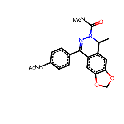 CNC(=O)N1N=C(c2ccc(NC(C)=O)cc2)c2cc3c(cc2C1C)OCO3